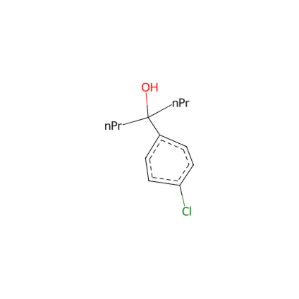 CCCC(O)(CCC)c1ccc(Cl)cc1